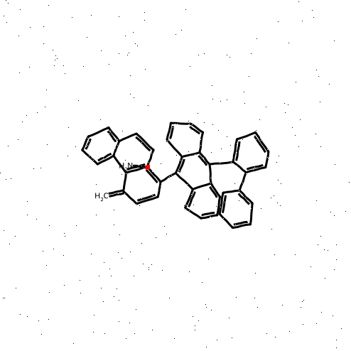 C=C(/C=C\C(=C/N)c1c2ccccc2c(-c2ccccc2-c2ccccc2)c2ccccc12)c1cccc2ccccc12